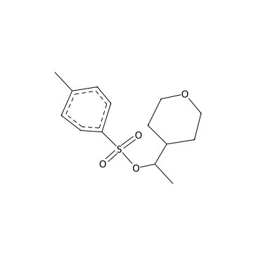 Cc1ccc(S(=O)(=O)OC(C)C2CCOCC2)cc1